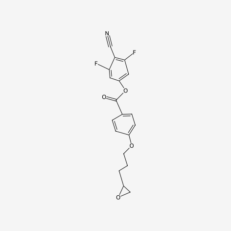 N#Cc1c(F)cc(OC(=O)c2ccc(OCCCC3CO3)cc2)cc1F